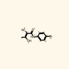 CC(O)=C(C#N)C(=O)Nc1ccc(Br)cc1